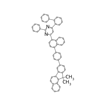 CC1(C)c2ccc(-c3ccc(-c4ccc(-c5cc(-c6ccccc6-c6ccccc6)nc(-c6ccccc6)n5)c5ccccc45)cc3)cc2-c2ccc3ccccc3c21